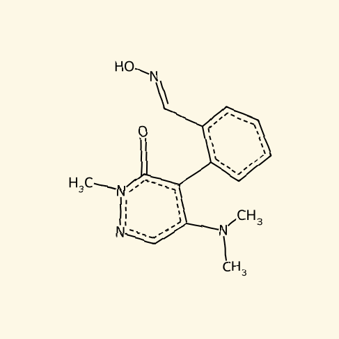 CN(C)c1cnn(C)c(=O)c1-c1ccccc1C=NO